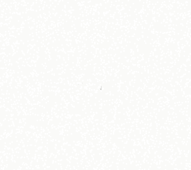 CCC(CC=O)=NC(=O)OC